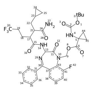 CC(C)(C)OC(=O)NC1(C(=O)OCN2C(=O)C(NC(=O)C(CCC(F)(F)F)C(CC3CC3)C(N)=O)N=C(c3ccccc3)c3cccc(F)c32)CC1